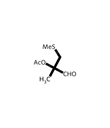 CSCC(C)(C=O)OC(C)=O